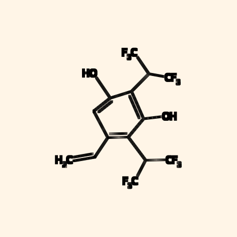 C=Cc1cc(O)c(C(C(F)(F)F)C(F)(F)F)c(O)c1C(C(F)(F)F)C(F)(F)F